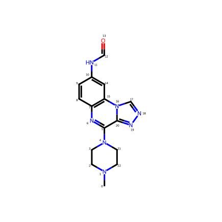 CN1CCN(c2nc3ccc(NC=O)cc3n3cnnc23)CC1